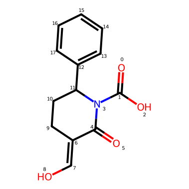 O=C(O)N1C(=O)C(=CO)CCC1c1ccccc1